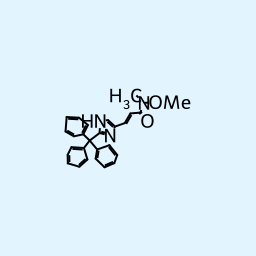 CON(C)C(=O)/C=C/c1c[nH]c(C(c2ccccc2)(c2ccccc2)c2ccccc2)n1